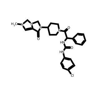 CN1C=C2C(=O)N(C3CCN(C(=O)C(NC(=O)Nc4ccc(Cl)cc4)c4ccccc4)CC3)CN2C1